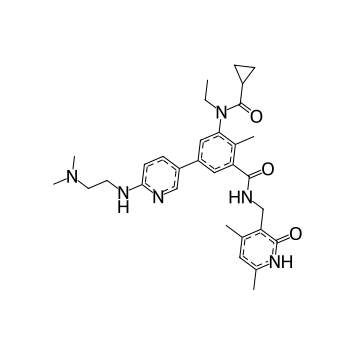 CCN(C(=O)C1CC1)c1cc(-c2ccc(NCCN(C)C)nc2)cc(C(=O)NCc2c(C)cc(C)[nH]c2=O)c1C